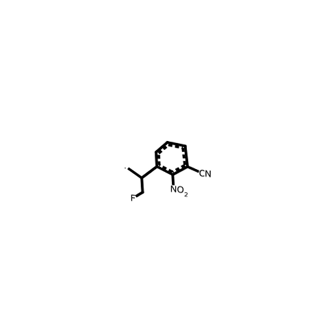 [CH2]C(CF)c1cccc(C#N)c1[N+](=O)[O-]